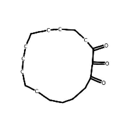 O=C1CCCCCCCCCCCCCCC(=O)C1=O